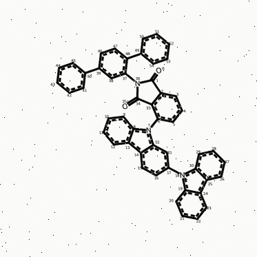 O=C1c2cccc(-n3c4ccccc4c4ccc(-n5c6ccccc6c6ccccc65)cc43)c2C(=O)N1c1cc(-c2ccccc2)ccc1-c1ccccc1